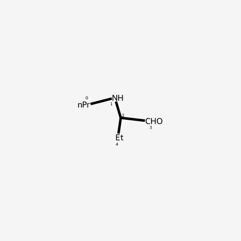 CCCNC(C=O)CC